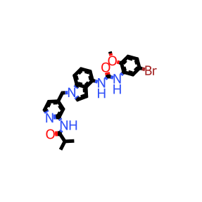 COc1ccc(Br)cc1NC(=O)Nc1cccc2c1ccn2Cc1ccnc(NC(=O)C(C)C)c1